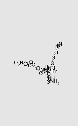 CC(C)C(NC(=O)COCCOCCOCCN=[N+]=[N-])C(=O)NC(CCCNC(N)=O)C(=O)Nc1ccc(COC(=O)Oc2ccc([N+](=O)[O-])cc2)cc1